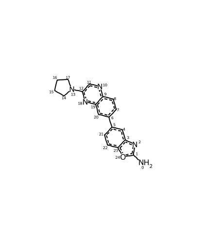 Nc1nc2cc(-c3ccc4ncc(N5CCCC5)nc4c3)ccc2o1